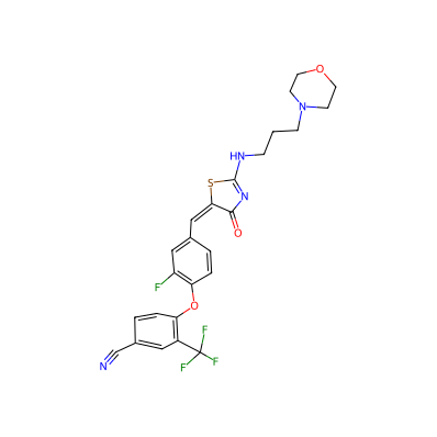 N#Cc1ccc(Oc2ccc(/C=C3/SC(NCCCN4CCOCC4)=NC3=O)cc2F)c(C(F)(F)F)c1